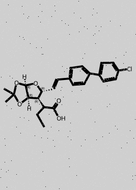 CCC(C(=O)O)[C@H]1[C@H]2OC(C)(C)O[C@H]2O[C@@H]1C=Cc1ccc(-c2ccc(Cl)cc2)cc1